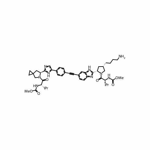 COC(=O)N[C@H](C(=O)N1CC2(CC2)C[C@H]1c1ncc(-c2ccc(C#Cc3ccc4nc([C@@H]5C[C@H](CCCCN)CN5C(=O)[C@@H](NC(=O)OC)C(C)C)[nH]c4c3)cc2)[nH]1)C(C)C